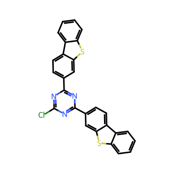 Clc1nc(-c2ccc3c(c2)sc2ccccc23)nc(-c2ccc3c(c2)sc2ccccc23)n1